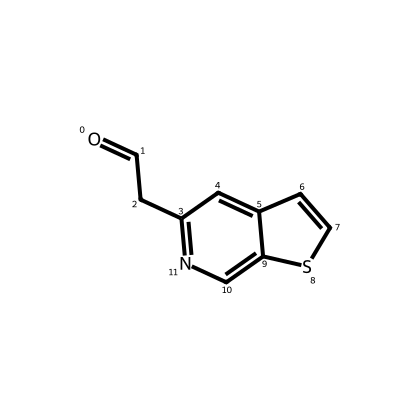 O=CCc1cc2ccsc2cn1